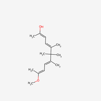 CO/C(C)=C/C=C(\C)C(C)(C)/C(C)=C/C=C(\C)O